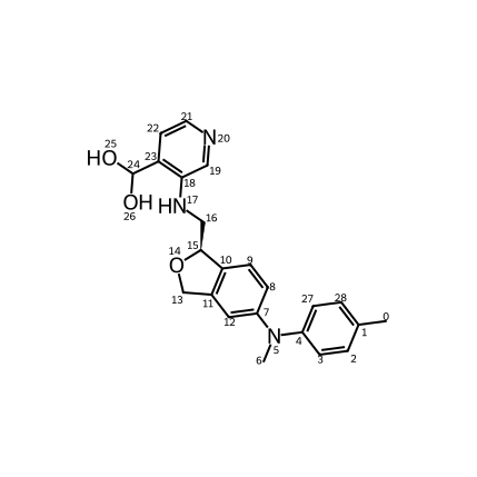 Cc1ccc(N(C)c2ccc3c(c2)CO[C@H]3CNc2cnccc2C(O)O)cc1